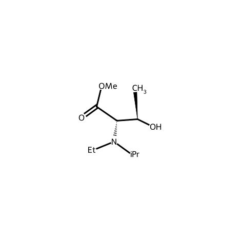 CCN(C(C)C)[C@H](C(=O)OC)[C@@H](C)O